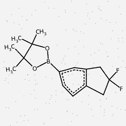 CC1(C)OB(c2ccc3c(c2)CC(F)(F)C3)OC1(C)C